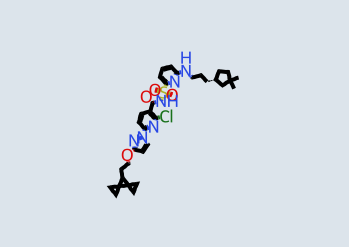 CC1(C)CC[C@@H](CCCNc2cccc(S(=O)(=O)NC(=O)c3ccc(-n4ccc(OCCC5C6(CC6)C56CC6)n4)nc3Cl)n2)C1